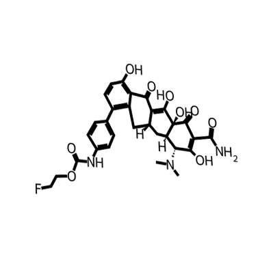 CN(C)[C@H]1C(O)=C(C(N)=O)C(=O)[C@@]2(O)C(O)=C3C(=O)c4c(O)ccc(-c5ccc(NC(=O)OCCF)cc5)c4C[C@H]3C[C@H]12